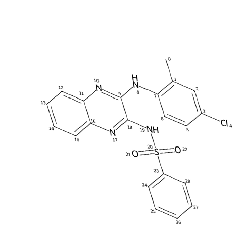 Cc1cc(Cl)ccc1Nc1nc2ccccc2nc1NS(=O)(=O)c1ccccc1